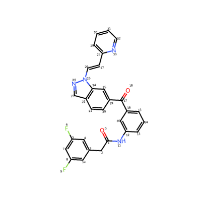 O=C(Cc1cc(F)cc(F)c1)Nc1cccc(C(=O)c2ccc3cnn(C=Cc4ccccn4)c3c2)c1